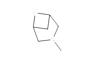 CN1CC2CC(C1)O2